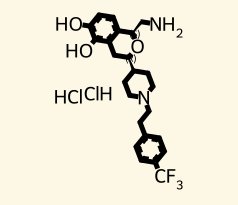 Cl.Cl.NC[C@H]1O[C@@H](C2CCN(CCc3ccc(C(F)(F)F)cc3)CC2)Cc2c1ccc(O)c2O